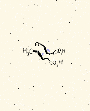 C/C=C/CC(=O)O.CC/C=C/C(=O)O